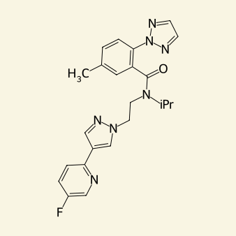 Cc1ccc(-n2nccn2)c(C(=O)N(CCn2cc(-c3ccc(F)cn3)cn2)C(C)C)c1